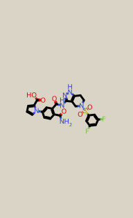 NC(=O)c1ccc(-n2cccc2C(=O)O)cc1C(=O)Nc1n[nH]c2c1CN(S(=O)(=O)c1cc(F)cc(F)c1)CC2